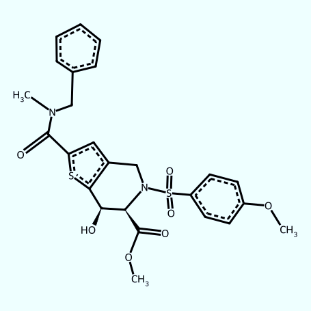 COC(=O)[C@H]1[C@@H](O)c2sc(C(=O)N(C)Cc3ccccc3)cc2CN1S(=O)(=O)c1ccc(OC)cc1